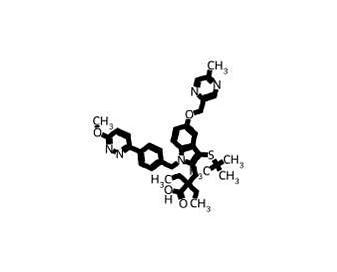 CCC(CC)(Cc1c(SC(C)(C)C)c2cc(OCc3cnc(C)cn3)ccc2n1Cc1ccc(-c2ccc(OC)nn2)cc1)C(=O)O